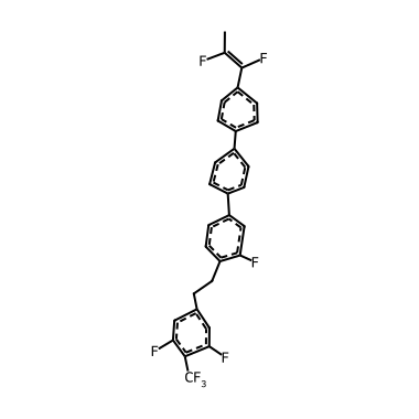 C/C(F)=C(\F)c1ccc(-c2ccc(-c3ccc(CCc4cc(F)c(C(F)(F)F)c(F)c4)c(F)c3)cc2)cc1